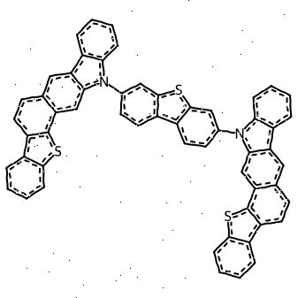 c1ccc2c(c1)sc1c3cc4c(cc3ccc21)c1ccccc1n4-c1ccc2c(c1)sc1cc(-n3c4ccccc4c4cc5ccc6c7ccccc7sc6c5cc43)ccc12